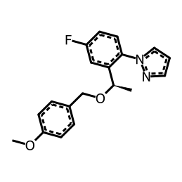 COc1ccc(CO[C@H](C)c2cc(F)ccc2-n2cccn2)cc1